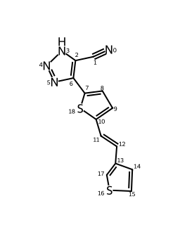 N#Cc1[nH]nnc1-c1ccc(/C=C/c2ccsc2)s1